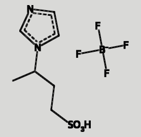 CC(CCS(=O)(=O)O)n1ccnc1.F[B-](F)(F)F